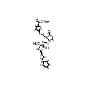 COC(=O)c1ccc(CCCN2C(=O)CC[C@@H]2C=C[C@H](O)[C@H](C)CC#CCCc2ccccc2)s1